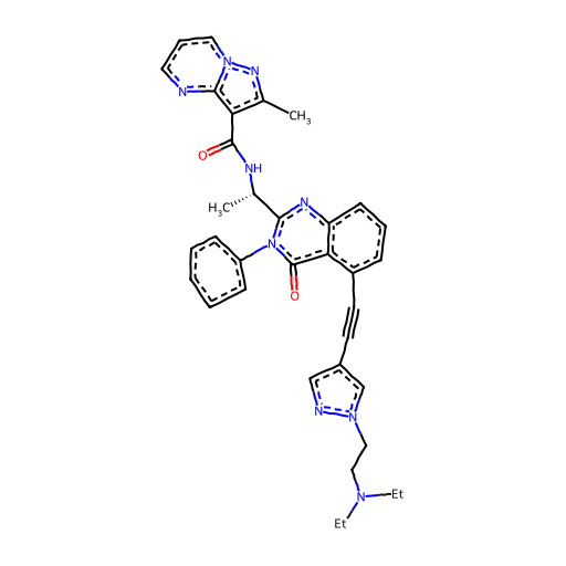 CCN(CC)CCn1cc(C#Cc2cccc3nc([C@H](C)NC(=O)c4c(C)nn5cccnc45)n(-c4ccccc4)c(=O)c23)cn1